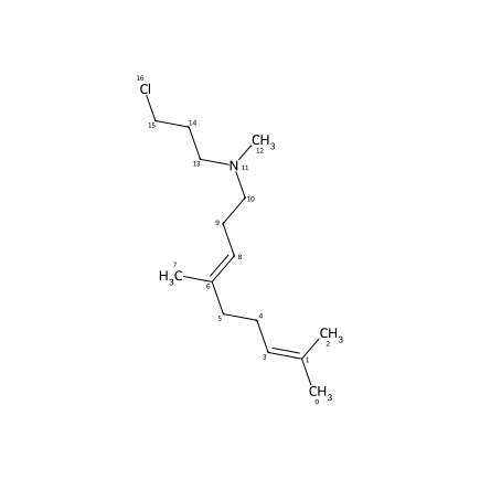 CC(C)=CCCC(C)=CCCN(C)CCCCl